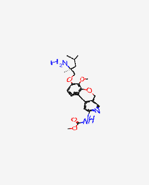 COC(=O)Nc1cc2c(cn1)COc1c-2ccc(OC[C@@](C)(N)CC(C)C)c1OC